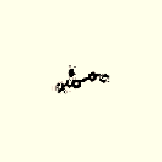 O=c1[nH]cnc(C(CNC2CC(F)(F)C2)Cc2ccc(C#Cc3ccc(CN4CCOCC4)cc3)cc2)c1O